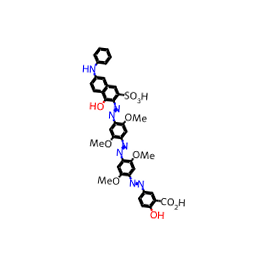 COc1cc(N=Nc2cc(OC)c(N=Nc3c(S(=O)(=O)O)cc4cc(Nc5ccccc5)ccc4c3O)cc2OC)c(OC)cc1N=Nc1ccc(O)c(C(=O)O)c1